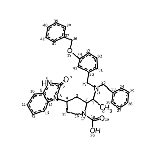 CC(C1CC(n2c(=O)[nH]c3ccccc32)CCN1C(=O)O)N(Cc1ccccc1)Cc1cccc(OCc2ccccc2)c1